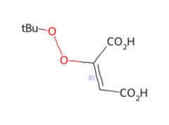 CC(C)(C)OO/C(=C/C(=O)O)C(=O)O